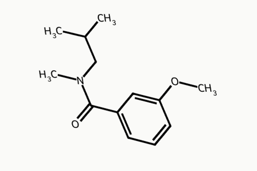 COc1cccc(C(=O)N(C)CC(C)C)c1